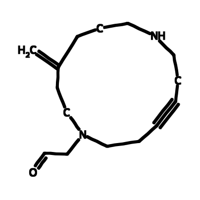 C=C1CCCNCCC#CCCN(CC=O)CC1